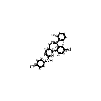 Fc1ccccc1C1=NCc2cnc(Nc3ccc(Cl)cc3)nc2-c2ccc(Cl)cc21